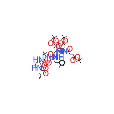 C=CC[C@H](NC(=O)[C@H](CC(C)C)NC(=O)[C@@H](NC(=O)[C@H](Cc1ccccc1C)NC(=O)[C@H](CCC(=O)OC(C)(C)C)NC(=O)[C@H](CC(=O)OC(C)(C)C)NC(=O)CCC(=O)OC(C)(C)C)C(C)(C)C)C(OC)OC